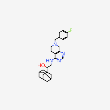 OC(CNc1ncnc2c1CCN(Cc1ccc(F)cc1)C2)C12CC3CC(CC(C3)C1)C2